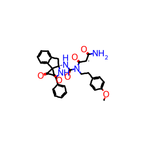 COc1ccc(CCN(C(=O)[CH]C(N)=O)C(=O)N[C@@]2(NCc3ccccc3)Cc3ccccc3C23C(=O)C3=O)cc1